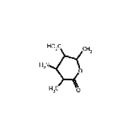 CC1OC(=O)C(C)C(N)C1C(=O)O